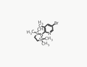 Cc1cc(Br)cnc1N1[Si](C)(C)CC[Si]1(C)C